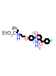 CCOC(=O)[C@@H](CC(C)C)NCCCOc1cc(F)c(-n2c(N)c(C(=O)c3ccc(F)cc3)ccc2=O)c(F)c1